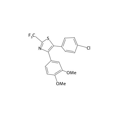 COc1ccc(-c2nc(C(F)(F)F)sc2-c2ccc(Cl)cc2)cc1OC